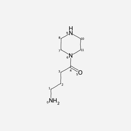 NCCCC(=O)N1CCNCC1